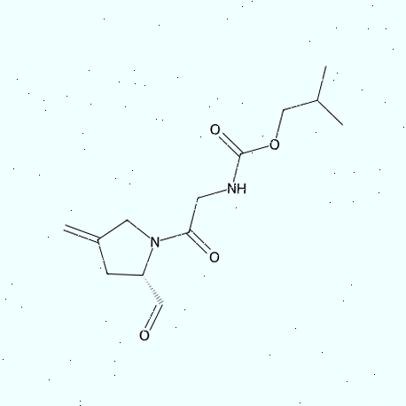 C=C1C[C@@H](C=O)N(C(=O)CNC(=O)OCC(C)C)C1